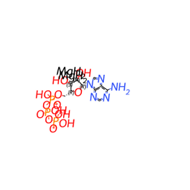 Nc1ncnc2c1ncn2[C@@H]1O[C@H](COP(=O)(O)OP(=O)(O)OP(=O)(O)O)[C@@H](O)[C@H]1O.[MgH2].[MgH2]